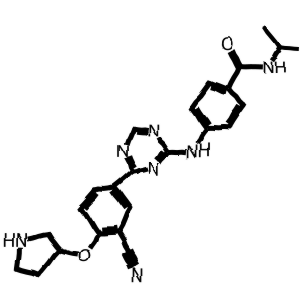 CC(C)NC(=O)c1ccc(Nc2ncnc(-c3ccc(OC4CCNC4)c(C#N)c3)n2)cc1